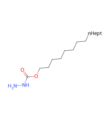 CCCCCCCCCCCCCCCOC(=O)NN